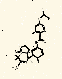 Cc1cc(OC(F)F)cnc1C(=O)NC1=CC([C@@]2(C)N=C(N)C(C)(C)[S@@]3(=O)=NCC[C@@H]23)C(F)C=C1